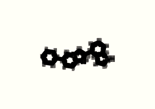 [c]1cccc(-c2ccc3nc(-c4cccc5[nH]ccc45)cn3c2)c1